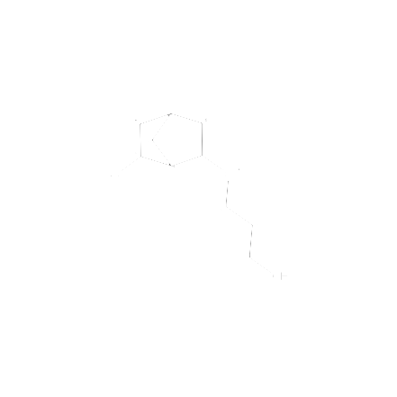 [CH2]CCCOC1CC2CC([O])C1C2